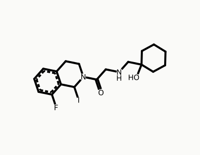 O=C(CNCC1(O)CCCCC1)N1CCc2cccc(F)c2C1I